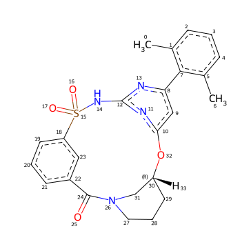 Cc1cccc(C)c1-c1cc2nc(n1)NS(=O)(=O)c1cccc(c1)C(=O)N1CCC[C@H](C1)O2